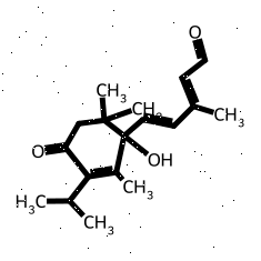 CC(C=CC1(O)C(C)=C(C(C)C)C(=O)CC1(C)C)=CC=O